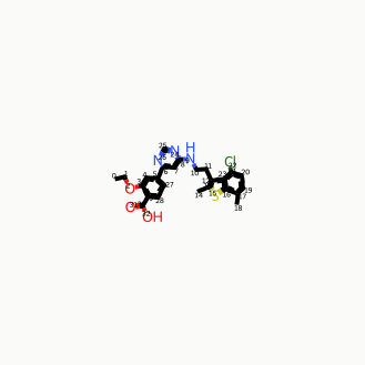 CCOc1cc(-c2cc(NCCc3c(C)sc4c(C)ccc(Cl)c34)ncn2)ccc1C(=O)O